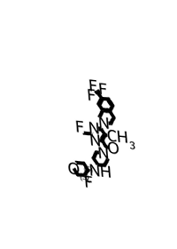 Cc1c(C(=O)N2CCC(N[C@H]3CCOC[C@H]3F)CC2)nc(CF)nc1N1CCc2ccc(C(F)(F)F)cc2C1